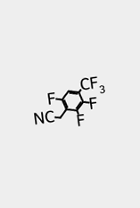 N#CCc1c(F)cc(C(F)(F)F)c(F)c1F